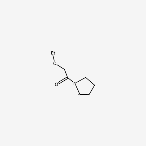 CCOCC(=O)N1[CH]CCC1